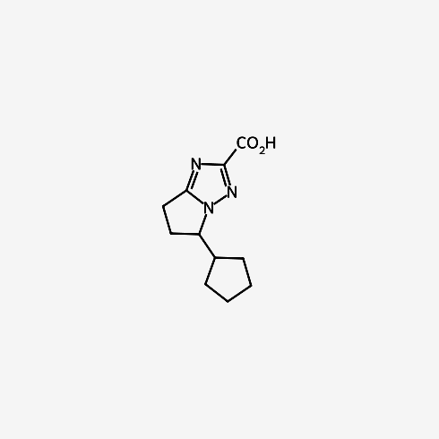 O=C(O)c1nc2n(n1)C(C1CCCC1)CC2